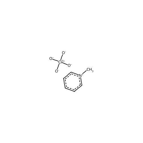 C[n+]1ccccc1.[O-][Cl+3]([O-])([O-])[O-]